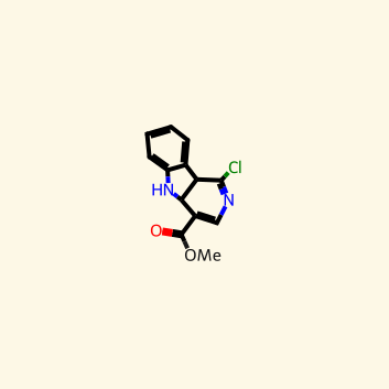 COC(=O)C1=CN=C(Cl)C2c3ccccc3NC12